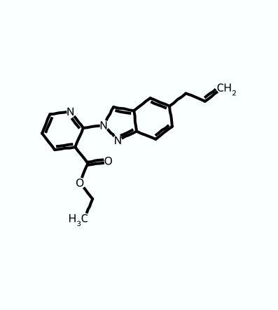 C=CCc1ccc2nn(-c3ncccc3C(=O)OCC)cc2c1